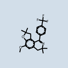 COc1cc2c(c3c1OC(C)(C)C3)C(c1ccc(C(F)(F)F)cc1)=NC(C)(C)C2